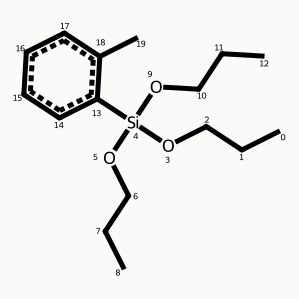 CCCO[Si](OCCC)(OCCC)c1ccccc1C